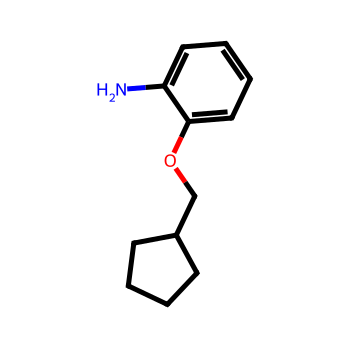 Nc1ccccc1OCC1CCCC1